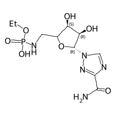 CCOP(=O)(O)NCC1O[C@@H](n2cnc(C(N)=O)n2)[C@H](O)[C@@H]1O